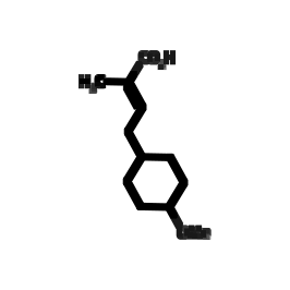 COC1CCC(CC=C(C)C(=O)O)CC1